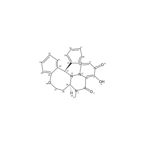 CN1C(=O)c2c(O)c(=O)ccn2N2[C@H](c3ccccc3)c3ccccc3OCC[C@H]12